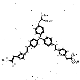 CCCCCCC(CCCCCC)Oc1ccc(N(c2ccc(/C=C/c3ccc(/C=C(\C#N)C(=O)O)s3)cc2)c2ccc(/C=C/c3ccc(/C=C(\C#N)C(=O)O)s3)cc2)cc1